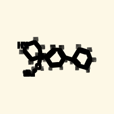 CC(C)(C)O[N+]1(c2ccc(-c3c[c]ccc3)cc2)CCNCC1